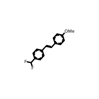 COc1ccc(C=Cc2ccc(C(F)F)cc2)cc1